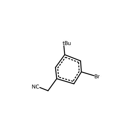 CC(C)(C)c1cc(Br)cc(CC#N)c1